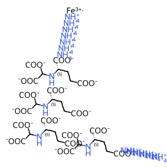 O=C([O-])CC[C@H](NC(C(=O)[O-])C(=O)[O-])C(=O)[O-].O=C([O-])CC[C@H](NC(C(=O)[O-])C(=O)[O-])C(=O)[O-].O=C([O-])CC[C@H](NC(C(=O)[O-])C(=O)[O-])C(=O)[O-].O=C([O-])CC[C@H](NC(C(=O)[O-])C(=O)[O-])C(=O)[O-].[Fe+3].[NH4+].[NH4+].[NH4+].[NH4+].[NH4+].[NH4+].[NH4+].[NH4+].[NH4+].[NH4+].[NH4+].[NH4+].[NH4+]